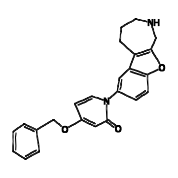 O=c1cc(OCc2ccccc2)ccn1-c1ccc2oc3c(c2c1)CCCNC3